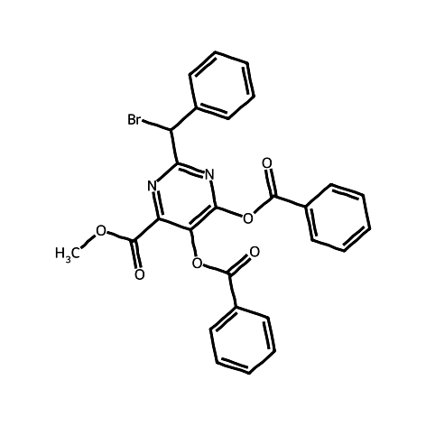 COC(=O)c1nc(C(Br)c2ccccc2)nc(OC(=O)c2ccccc2)c1OC(=O)c1ccccc1